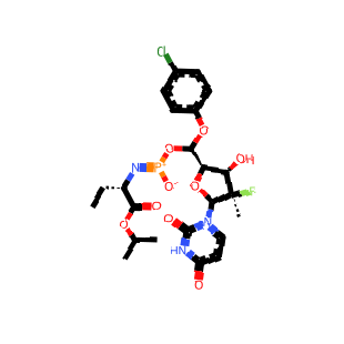 CC[C@H](/N=[P+](\[O-])OC(Oc1ccc(Cl)cc1)[C@@H]1OC(n2ccc(=O)[nH]c2=O)[C@](C)(F)[C@@H]1O)C(=O)OC(C)C